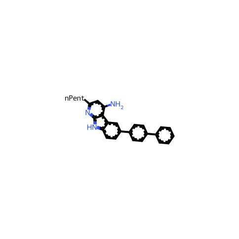 CCCCCc1cc(N)c2c(n1)[nH]c1ccc(-c3ccc(-c4ccccc4)cc3)cc12